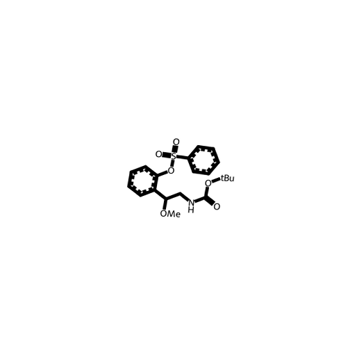 COC(CNC(=O)OC(C)(C)C)c1ccccc1OS(=O)(=O)c1ccccc1